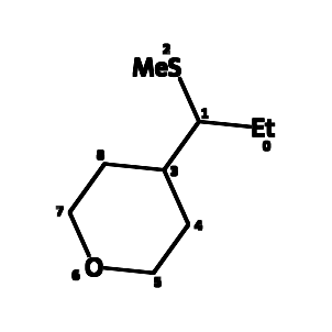 CCC(SC)C1CCOCC1